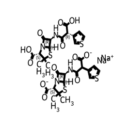 CC1(C)S[C@@H]2[C@H](NC(=O)C(C(=O)[O-])c3ccsc3)C(=O)N2[C@H]1C(=O)[O-].CC1(C)S[C@@H]2[C@H](NC(=O)[C@H](C(=O)O)c3ccsc3)C(=O)N2[C@H]1C(=O)O.[Na+].[Na+]